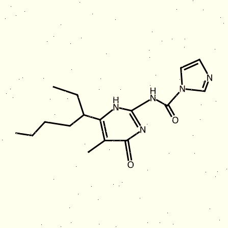 CCCCC(CC)c1[nH]c(NC(=O)n2ccnc2)nc(=O)c1C